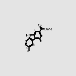 COC(=O)c1cc(C)c2c(c1)[nH]c1ncc(C)cc12